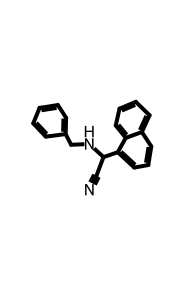 N#CC(NCc1ccccc1)c1cccc2ccccc12